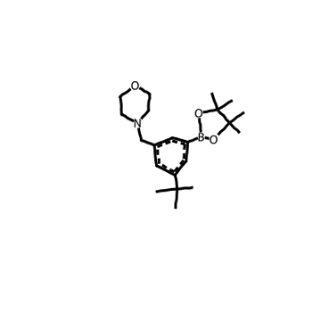 CC(C)(C)c1cc(CN2CCOCC2)cc(B2OC(C)(C)C(C)(C)O2)c1